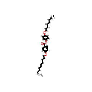 CCCCCCCCCCOc1ccc(C(=O)Oc2ccc(OCCCCCCCC)cc2)cc1